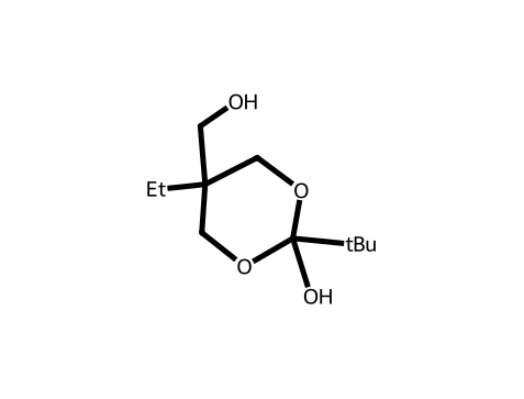 CCC1(CO)COC(O)(C(C)(C)C)OC1